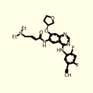 C#Cc1cc(Nc2ncnc3cc(O[C@H]4CCOC4)c(NC(=O)/C=C/CN(CC)CC)cc23)c(F)cc1F